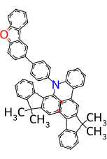 CC1(C)c2ccccc2-c2ccc(-c3ccccc3N(c3ccc(-c4ccc5oc6ccccc6c5c4)cc3)c3cccc4c3-c3ccccc3C4(C)C)cc21